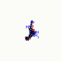 CN(C)C/C=C/C(=O)NC1CCC(n2nc(-c3ccc(Oc4ccccn4)cc3)c3c(N)n[nH]c(=O)c32)CC1